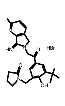 Br.Cc1ccc2c(n1)C(=N)N(CC(=O)c1cc(CN3CCCC3=O)c(O)c(C(C)(C)C)c1)C2